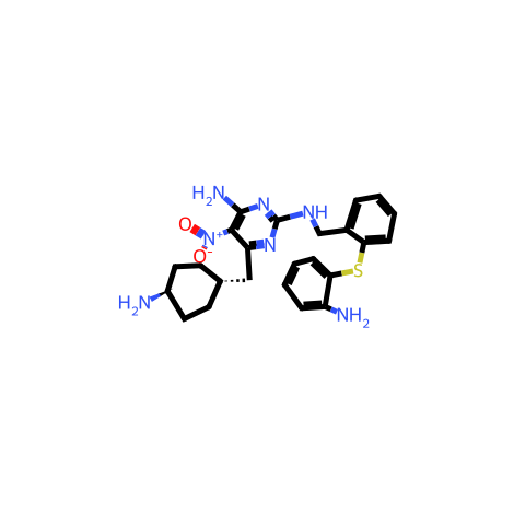 Nc1ccccc1Sc1ccccc1CNc1nc(N)c([N+](=O)[O-])c(C[C@H]2CC[C@H](N)CC2)n1